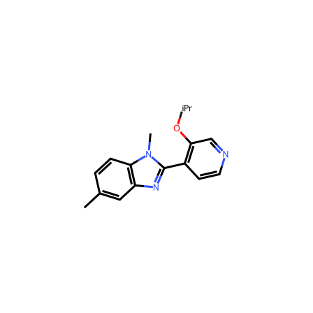 Cc1ccc2c(c1)nc(-c1ccncc1OC(C)C)n2C